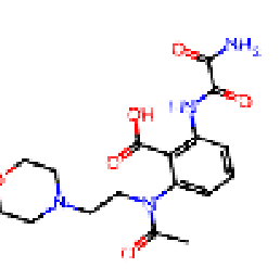 CC(=O)N(CCN1CCOCC1)c1cccc(NC(=O)C(N)=O)c1C(=O)O